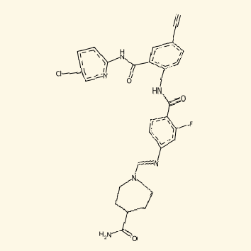 C#Cc1ccc(NC(=O)c2ccc(N=CN3CCC(C(N)=O)CC3)cc2F)c(C(=O)Nc2ccc(Cl)cn2)c1